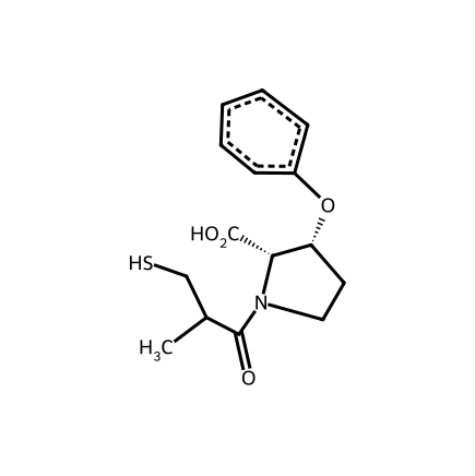 CC(CS)C(=O)N1CC[C@@H](Oc2ccccc2)[C@H]1C(=O)O